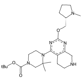 CN1CCC[C@H]1COc1nc2c(c(N3CCN(C(=O)OC(C)(C)C)CC3(C)C)n1)CCNC2